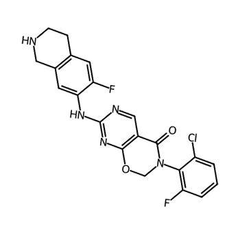 O=C1c2cnc(Nc3cc4c(cc3F)CCNC4)nc2OCN1c1c(F)cccc1Cl